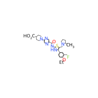 CCOc1ccc(-c2nc(NC(=O)c3cnc(N4CCC(C(=O)O)CC4)cn3)sc2CN2CCC[C@H]2C)cc1CF